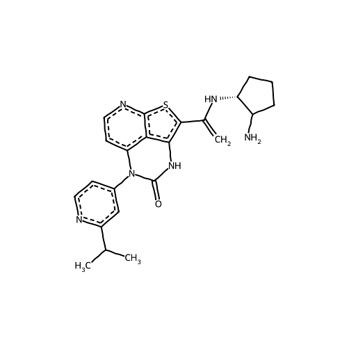 C=C(N[C@@H]1CCCC1N)c1sc2nccc3c2c1NC(=O)N3c1ccnc(C(C)C)c1